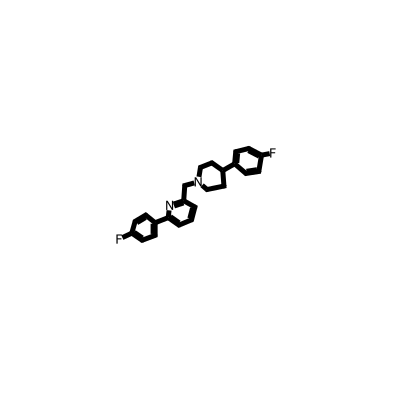 Fc1ccc(-c2cccc(CN3CCC(c4ccc(F)cc4)CC3)n2)cc1